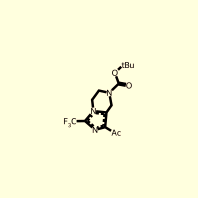 CC(=O)c1nc(C(F)(F)F)n2c1CN(C(=O)OC(C)(C)C)CC2